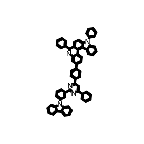 c1ccc(-c2cc(-c3ccc(-c4ccc5c(c4)nc(-c4ccccc4)c4ccc6c(c7ccccc7n6-c6ccccc6)c45)cc3)nc(-c3cccc(-n4c5ccccc5c5ccccc54)c3)n2)cc1